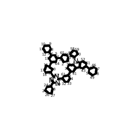 c1ccc(-c2cc(-c3ccccc3)cc(-c3cccc(-c4nc(-c5ccccc5)nc(-c5cccc(-c6ccc7c(c6)c6cc(-c8ccccc8)ccc6n7-c6ccccc6)c5)n4)c3)c2)cc1